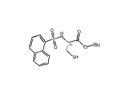 CC(C)(C)OC(=O)[C@H](CS)NS(=O)(=O)c1cccc2ccccc12